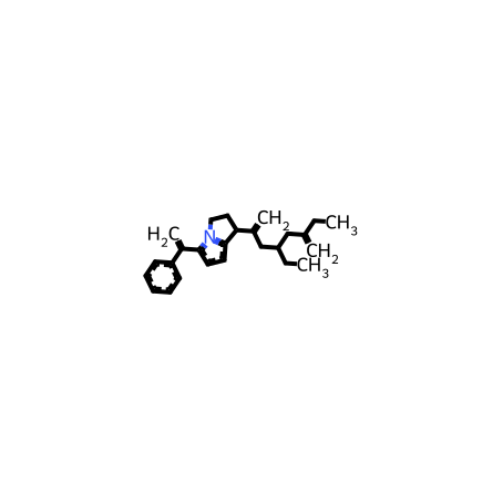 C=C(CC)CC(CC)CC(=C)C1CCn2c(C(=C)c3ccccc3)ccc21